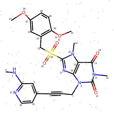 CNc1cc(C#CCn2c(=O)n(C)c(=O)c3c2nc(S(=O)(=O)Cc2cc(OC)ccc2OC)n3C)ccn1